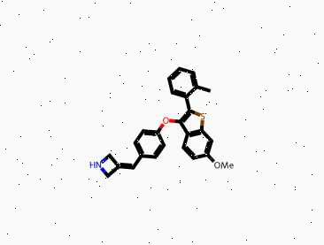 COc1ccc2c(Oc3ccc(C=C4CNC4)cc3)c(-c3ccccc3C)sc2c1